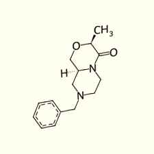 C[C@@H]1OC[C@@H]2CN(Cc3ccccc3)CCN2C1=O